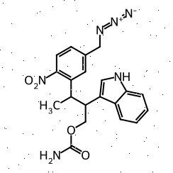 CC(c1cc(CN=[N+]=[N-])ccc1[N+](=O)[O-])C(COC(N)=O)c1c[nH]c2ccccc12